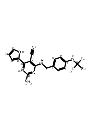 N#Cc1c(NCc2ccc(OC(F)(F)F)cc2)nc(N)nc1-c1ccco1